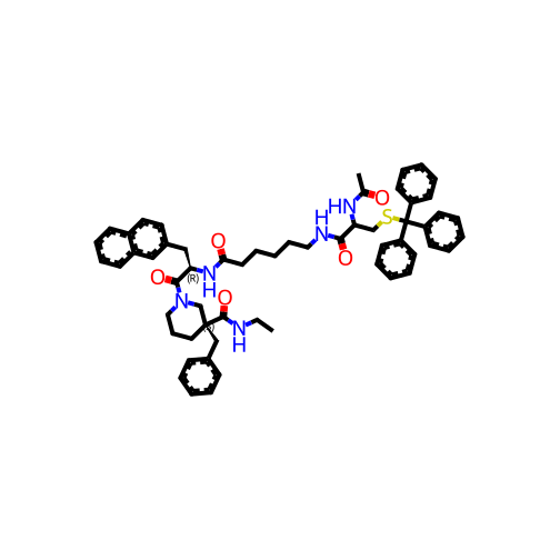 CCNC(=O)[C@]1(Cc2ccccc2)CCCN(C(=O)[C@@H](Cc2ccc3ccccc3c2)NC(=O)CCCCCNC(=O)C(CSC(c2ccccc2)(c2ccccc2)c2ccccc2)NC(C)=O)C1